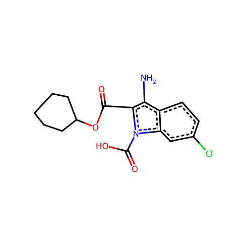 Nc1c(C(=O)OC2CCCCC2)n(C(=O)O)c2cc(Cl)ccc12